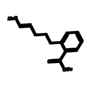 CO/C=C/CCCc1ccccc1C(=O)OC